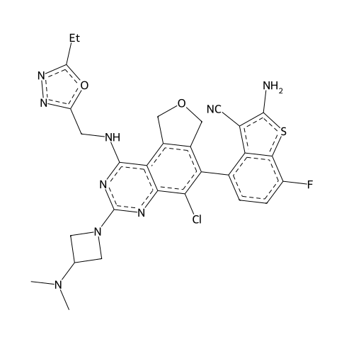 CCc1nnc(CNc2nc(N3CC(N(C)C)C3)nc3c(Cl)c(-c4ccc(F)c5sc(N)c(C#N)c45)c4c(c23)COC4)o1